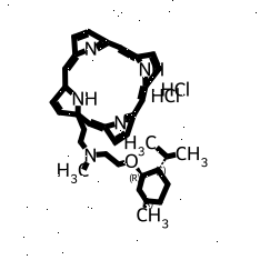 CC(C)[C@@H]1CC[C@@H](C)C[C@H]1OCCN(C)CCC12C=CC(C=C3C=CC(=N3)C=c3ccc([nH]3)=CC3=NC(=C1)C=C3)N2.Cl.Cl